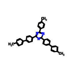 Cc1ccc(-c2ccc(-c3nc(-c4ccc(C)cc4)nc(-c4ccc(-c5ccc(C)cc5)cc4)n3)cc2)cc1